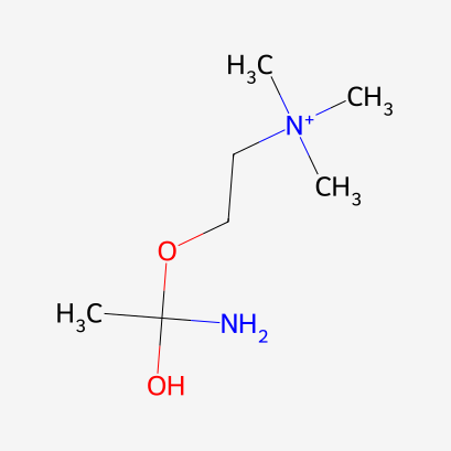 CC(N)(O)OCC[N+](C)(C)C